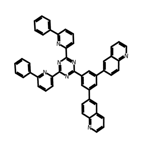 c1ccc(-c2cccc(-c3nc(-c4cc(-c5ccc6ncccc6c5)cc(-c5ccc6ncccc6c5)c4)nc(-c4cccc(-c5ccccc5)n4)n3)n2)cc1